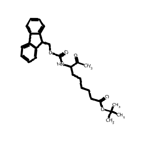 CC(=O)C(CCCCCC(=O)OC(C)(C)C)NC(=O)OCC1c2ccccc2-c2ccccc21